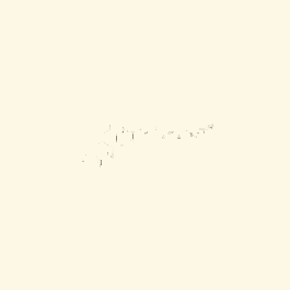 CC(C)(C)OC(=O)Nc1cccc(NC(=O)COCCOCCN=[N+]=[N-])c1